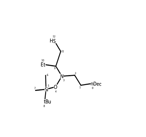 CCCCCCCCCCCCN(O[Si](C)(C)C(C)(C)C)C(CC)CS